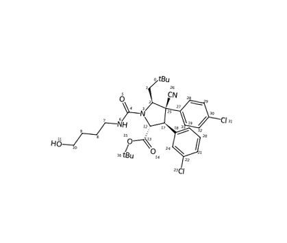 CC(C)(C)C[C@@H]1N(C(=O)NCCCCO)[C@@H](C(=O)OC(C)(C)C)[C@H](c2cccc(Cl)c2)[C@@]1(C#N)c1ccc(Cl)cc1